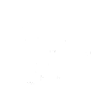 CNC(C(=O)NC(C(=O)CNC(/C=C(\C)C(=O)O)C(C)C)C(C)(C)C)C(C)c1ccccc1.O=C(O)C(F)(F)F